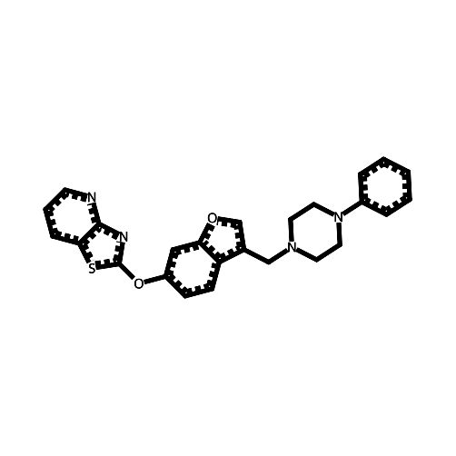 c1ccc(N2CCN(Cc3coc4cc(Oc5nc6ncccc6s5)ccc34)CC2)cc1